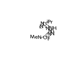 CNCCO[C@@H]1CCN(c2nccc(Nc3cc4c(C(C)C)cnc(N5CC[C@H]5C)c4cn3)n2)C[C@@H]1F